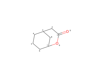 O=C1CC2CCCC(C2)O1